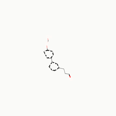 O=CCCc1cccc(-c2ccc(OCO)cc2)c1